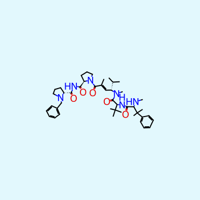 CN[C@H](C(=O)N[C@H](C(=O)N(C)[C@H](/C=C(\C)C(=O)N1CCC[C@@H]1C(=O)NC(=O)[C@H]1CCCN1Cc1ccccc1)C(C)C)C(C)(C)C)C(C)(C)c1ccccc1